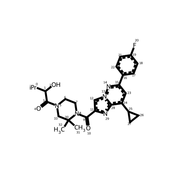 CC(C)C(O)C(=O)N1CCN(C(=O)c2cn3nc(-c4ccc(F)cc4)cc(C4CC4)c3n2)C(C)(C)C1